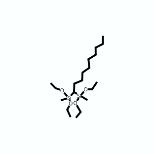 CCCCCCCCCC([Si](C)(OCC)OCC)[Si](C)(OCC)OCC